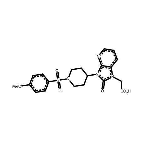 COc1ccc(S(=O)(=O)N2CCC(n3c(=O)n(CC(=O)O)c4cccnc43)CC2)cc1